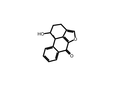 CC12c3ccccc3C(=O)c3occ(c31)CCC2O